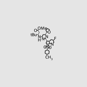 COC(=O)CC(Nc1cc(-c2ccco2)nc(-c2cn(S(=O)(=O)c3ccc(C)cc3)c3ncc(F)cc23)n1)C(C)(C)C